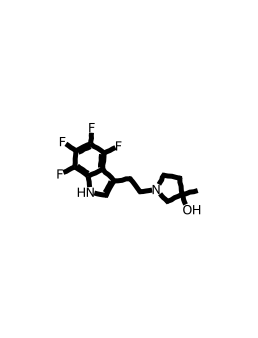 CC1(O)CCN(CCc2c[nH]c3c(F)c(F)c(F)c(F)c23)C1